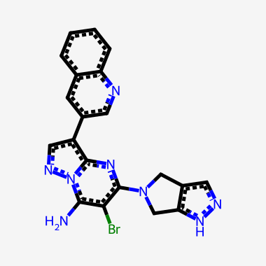 Nc1c(Br)c(N2Cc3cn[nH]c3C2)nc2c(-c3cnc4ccccc4c3)cnn12